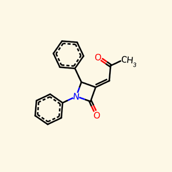 CC(=O)/C=C1/C(=O)N(c2ccccc2)C1c1ccccc1